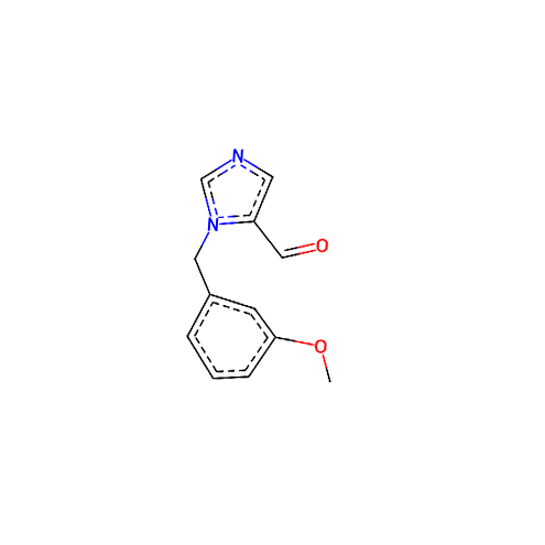 COc1cccc(Cn2cncc2C=O)c1